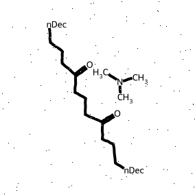 CCCCCCCCCCCCCC(=O)CCCC(=O)CCCCCCCCCCCCC.CN(C)C